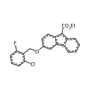 CCOC(=O)c1c2ccc(OCc3c(F)cccc3Cl)cc2n2ccccc12